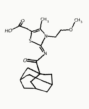 COCCn1c(C)c(C(=O)O)sc1=NC(=O)C12CC3CC(CC(C3)C1)C2